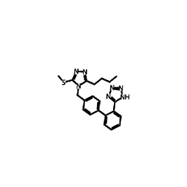 CCCCc1nnc(SC)n1Cc1ccc(-c2ccccc2-c2nnn[nH]2)cc1